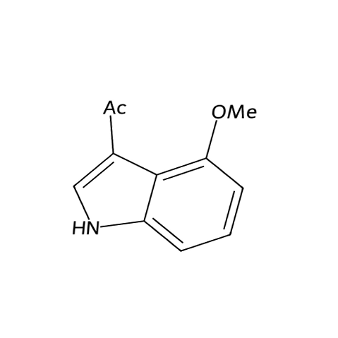 COc1cccc2[nH]cc(C(C)=O)c12